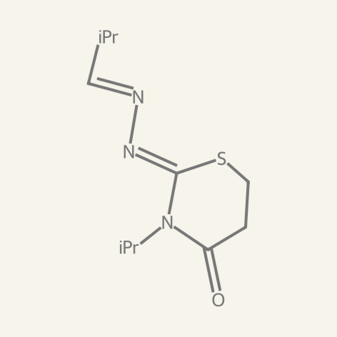 CC(C)/C=N/N=C1\SCCC(=O)N1C(C)C